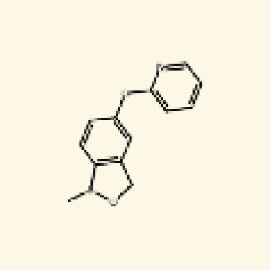 CB1OCc2cc(Oc3ccccn3)ccc21